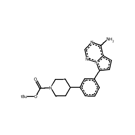 CC(C)(C)OC(=O)N1CCC(c2cccc(-c3ccc4c(N)ncnn34)c2)CC1